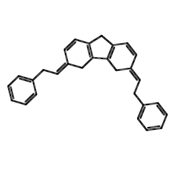 C1=CC2=C(CC1=CCc1ccccc1)C1=C(C=CC(=CCc3ccccc3)C1)C2